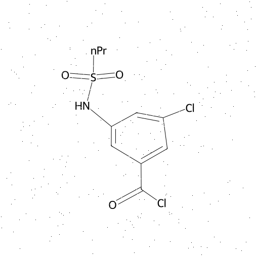 CCCS(=O)(=O)Nc1cc(Cl)cc(C(=O)Cl)c1